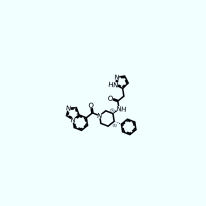 O=C(Cc1ccn[nH]1)N[C@@H]1CN(C(=O)c2cccn3cncc23)CC[C@H]1c1ccccc1